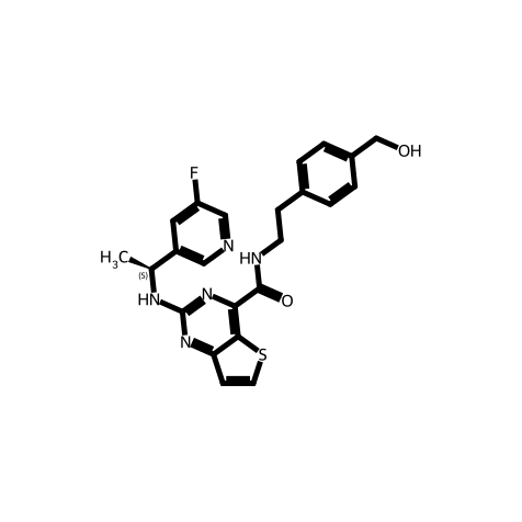 C[C@H](Nc1nc(C(=O)NCCc2ccc(CO)cc2)c2sccc2n1)c1cncc(F)c1